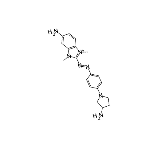 Cn1c(/N=N/c2ccc(N3CCC(N)C3)cc2)[n+](C)c2ccc(N)cc21